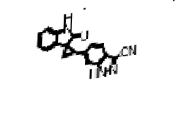 N#Cc1n[nH]c2cc(C3CC34C(=O)Nc3ccccc34)ccc12